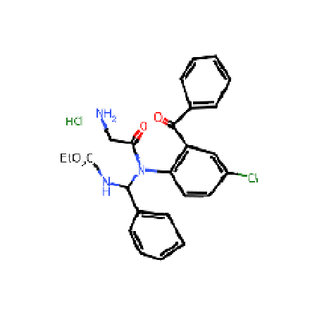 CCOC(=O)NC(c1ccccc1)N(C(=O)CN)c1ccc(Cl)cc1C(=O)c1ccccc1.Cl